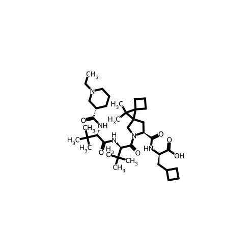 CCN1CCC[C@H](C(=O)N[C@H](C(=O)N[C@@H](C(=O)N2CC3(C[C@H]2C(=O)N[C@H](CC2CCC2)C(=O)O)C(C)(C)C32CCC2)C(C)(C)C)C(C)(C)C)C1